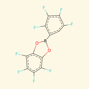 Fc1cc(B2Oc3c(F)c(F)c(F)c(F)c3O2)c(F)c(F)c1F